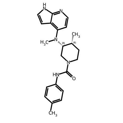 Cc1ccc(NC(=O)N2CC[C@@H](C)[C@@H](N(C)c3ccnc4[nH]ccc34)C2)cc1